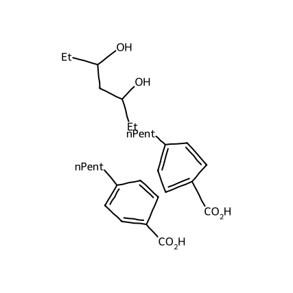 CCC(O)CC(O)CC.CCCCCc1ccc(C(=O)O)cc1.CCCCCc1ccc(C(=O)O)cc1